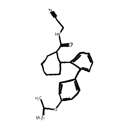 CC(C)Oc1ccc(-c2ccccc2C2CCCCC2C(=O)NCC#N)cc1